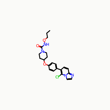 CCCONC(=O)N1CCC(Oc2ccc(-c3ccc4nccn4c3Cl)cc2)CC1